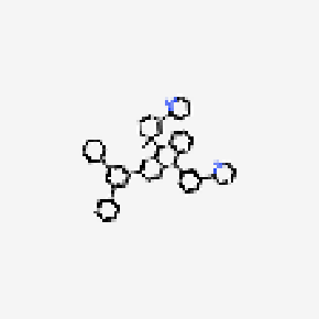 CC1(C2=C3C=C(c4cc(C5=CCCC=C5)cc(-c5ccccc5)c4)C=CC3C(c3cccc(-c4ccccn4)c3)c3ccccc32)C=C(c2ccccn2)C=CC1